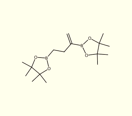 C=C(CCB1OC(C)(C)C(C)(C)O1)B1OC(C)(C)C(C)(C)O1